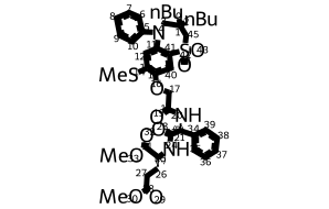 CCCCC1(CCCC)CN(c2ccccc2)c2cc(SC)c(OCC(=O)N[C@@H](C(=O)N[C@H](CCC(=O)OC)C(=O)OC)c3ccccc3)cc2S(=O)(=O)C1